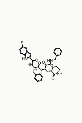 O=C(NCc1ccccc1)C(=O)C(C[C@@H]1CCCNC1=O)NC(=O)[C@H](Cc1ccccc1)NC(=O)c1cc2cc(F)ccc2[nH]1